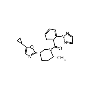 C[C@@H]1CC[C@@H](c2ncc(C3CC3)o2)CN1C(=O)c1ccccc1-n1nccn1